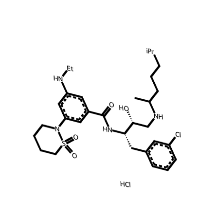 CCNc1cc(C(=O)N[C@@H](Cc2cccc(Cl)c2)[C@H](O)CNC(C)CCCC(C)C)cc(N2CCCCS2(=O)=O)c1.Cl